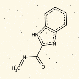 C=NC(=O)c1nc2ccccc2[nH]1